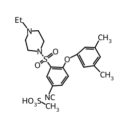 CCN1CCN(S(=O)(=O)c2cc(C#N)ccc2Oc2cc(C)cc(C)c2)CC1.CS(=O)(=O)O